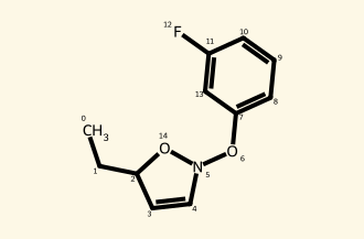 CCC1C=CN(Oc2cccc(F)c2)O1